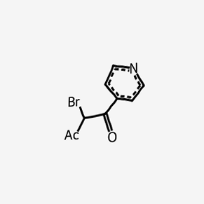 CC(=O)C(Br)C(=O)c1ccncc1